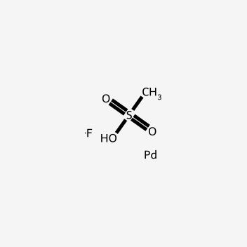 CS(=O)(=O)O.[F].[Pd]